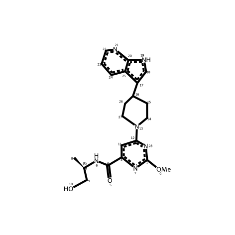 COc1nc(C(=O)N[C@H](C)CO)cc(N2CCC(c3c[nH]c4ncccc34)CC2)n1